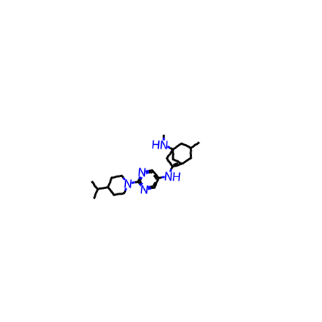 CNC12CC(=C(Nc3cnc(N4CCC(C(C)C)CC4)nc3)C1)CC(C)C2